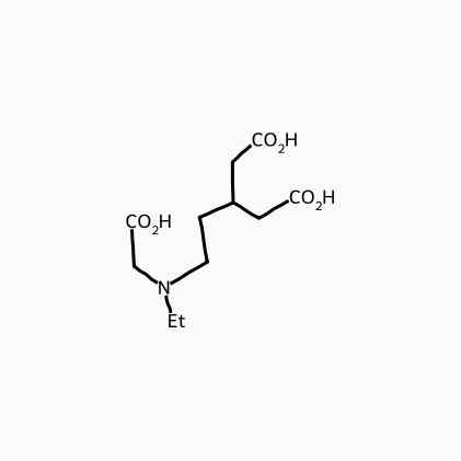 CCN(CCC(CC(=O)O)CC(=O)O)CC(=O)O